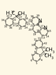 CC1(C)c2ccccc2-c2ccc(-c3ccnc4c3ccc3c(-c5ccc6c(c5)C(C)(C)c5ccccc5-6)ccnc34)cc21